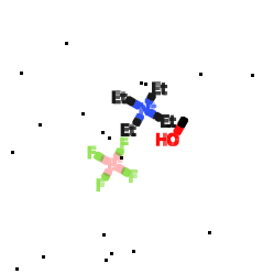 CC[N+](CC)(CC)CC.CO.F[B-](F)(F)F